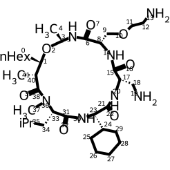 CCCCCC[C@H]1O[C@@H](C)NC(=O)[C@H](COCCN)NC(=O)[C@H](CN)NC(=O)[C@H](C2CCCCC2)NC(=O)[C@H](CC(C)C)N(C)C(=O)[C@@H]1C